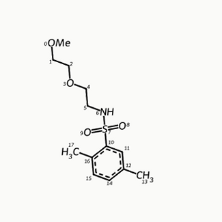 COCCOCCNS(=O)(=O)c1cc(C)ccc1C